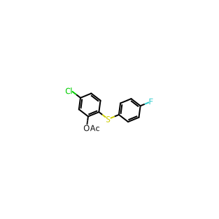 CC(=O)Oc1cc(Cl)ccc1Sc1ccc(F)cc1